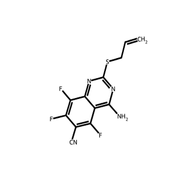 C=CCSc1nc(N)c2c(F)c(C#N)c(F)c(F)c2n1